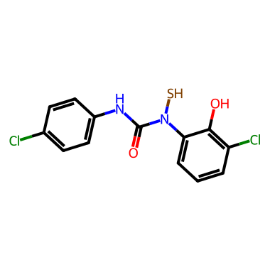 O=C(Nc1ccc(Cl)cc1)N(S)c1cccc(Cl)c1O